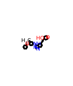 Cc1cc(Nc2ncnc3ccc(C#CC4(O)CCOCC4)cc23)ccc1Oc1ccccc1